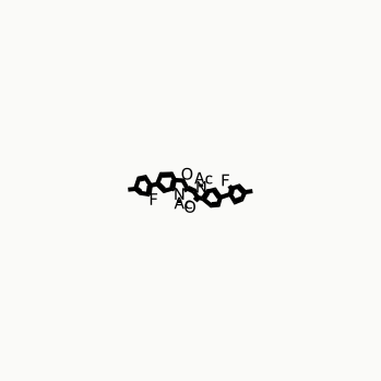 CC(=O)N1/C(=C2\C(=O)c3ccc(-c4ccc(C)cc4F)cc3N2C(C)=O)C(=O)c2ccc(-c3ccc(C)cc3F)cc21